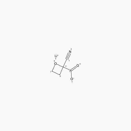 N#CC1(C(=O)[O-])CCO1.[Li+]